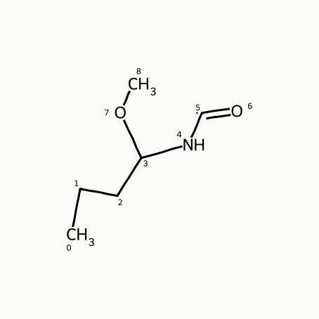 CCCC(N[C]=O)OC